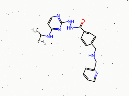 CC(C)Nc1ccnc(NNC(=O)c2ccc(CNCc3ccccn3)cc2)n1